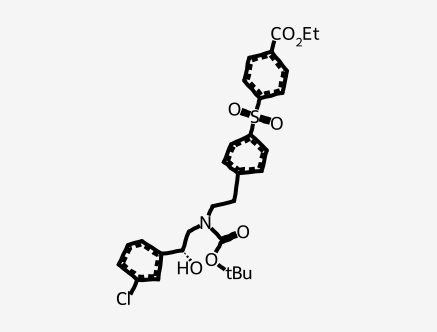 CCOC(=O)c1ccc(S(=O)(=O)c2ccc(CCN(C[C@H](O)c3cccc(Cl)c3)C(=O)OC(C)(C)C)cc2)cc1